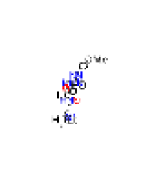 CC[N+]1(C)CCC(CCNC(=O)c2ccc(Nc3nccn4c(-c5ccc(OC)cc5)cnc34)cc2C)CC1.O=C[O-]